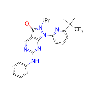 CC(C)n1c(=O)c2cnc(Nc3ccccc3)nc2n1-c1cccc(C(C)(C)C(F)(F)F)n1